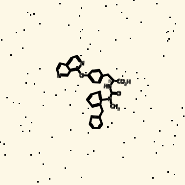 CN(C(=O)N[C@@H](Cc1ccc(Oc2nccc3ccncc23)cc1)C(=O)O)c1ccccc1Cc1ccccc1